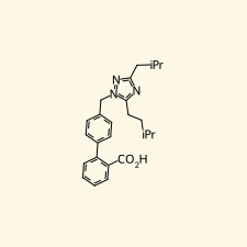 CC(C)CCc1nc(CC(C)C)nn1Cc1ccc(-c2ccccc2C(=O)O)cc1